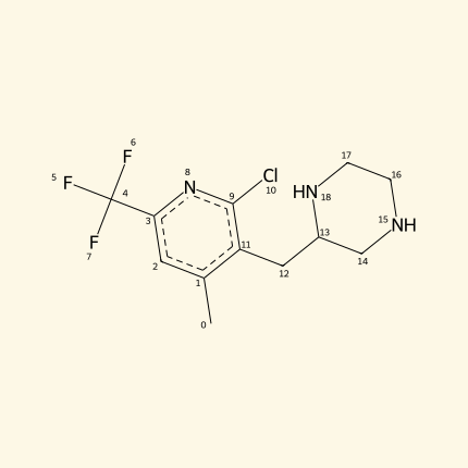 Cc1cc(C(F)(F)F)nc(Cl)c1CC1CNCCN1